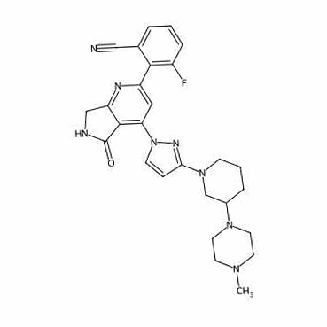 CN1CCN(C2CCCN(c3ccn(-c4cc(-c5c(F)cccc5C#N)nc5c4C(=O)NC5)n3)C2)CC1